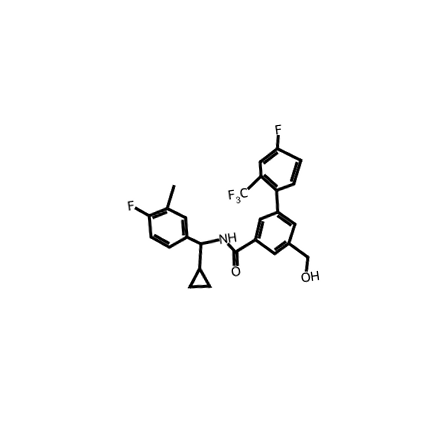 Cc1cc(C(NC(=O)c2cc(CO)cc(-c3ccc(F)cc3C(F)(F)F)c2)C2CC2)ccc1F